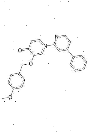 COc1ccc(COc2cn(-c3cc(-c4ccccc4)ccn3)ccc2=O)cc1